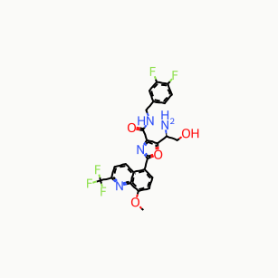 COc1ccc(-c2nc(C(=O)NCc3ccc(F)c(F)c3)c([C@@H](N)CO)o2)c2ccc(C(F)(F)F)nc12